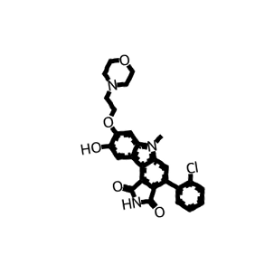 Cn1c2cc(OCCN3CCOCC3)c(O)cc2c2c3c(c(-c4ccccc4Cl)cc21)C(=O)NC3=O